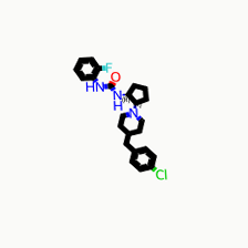 O=C(Nc1ccccc1F)N[C@@H]1CCC[C@H]1N1CCC(Cc2ccc(Cl)cc2)CC1